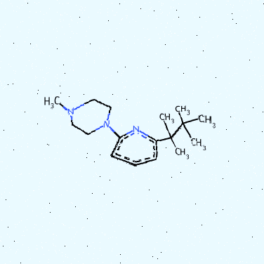 CN1CCN(c2cccc(C(C)(C)C(C)(C)C)n2)CC1